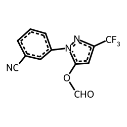 N#Cc1cccc(-n2nc(C(F)(F)F)cc2OC=O)c1